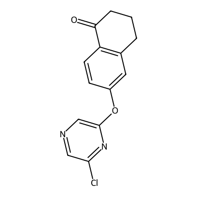 O=C1CCCc2cc(Oc3cncc(Cl)n3)ccc21